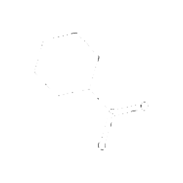 O=[SH](=O)C1[CH]CCCC1